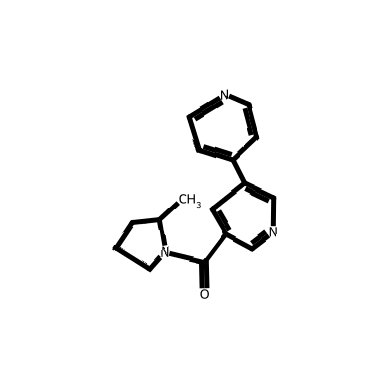 CC1CCCN1C(=O)c1cncc(-c2ccncc2)c1